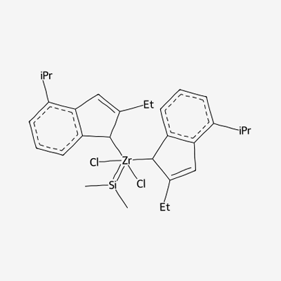 CCC1=Cc2c(C(C)C)cccc2[CH]1[Zr]([Cl])([Cl])([CH]1C(CC)=Cc2c(C(C)C)cccc21)=[Si](C)C